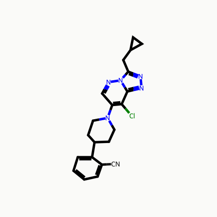 N#Cc1ccccc1C1CCN(c2cnn3c(CC4CC4)nnc3c2Cl)CC1